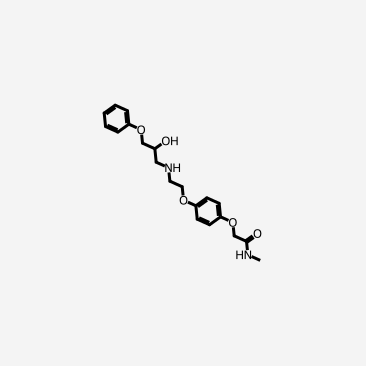 CNC(=O)COc1ccc(OCCNCC(O)COc2ccccc2)cc1